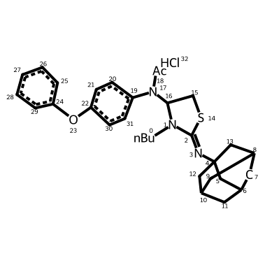 CCCCN1C(=NC23CC4CC(CC(C4)C2)C3)SCC1N(C(C)=O)c1ccc(Oc2ccccc2)cc1.Cl